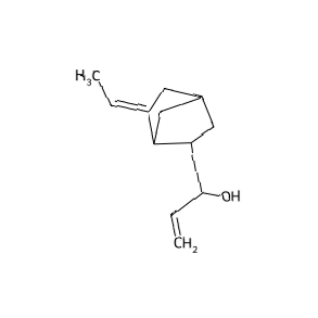 C=CC(O)C1CC2CC(=CC)C1C2